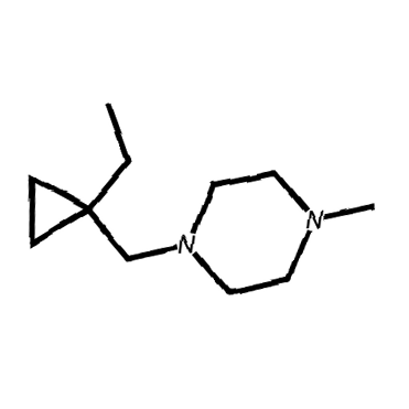 CCC1(CN2CCN(C)CC2)CC1